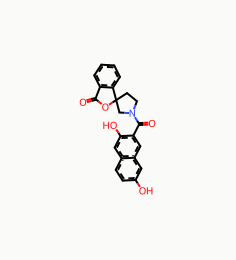 O=C1OC2(CCN(C(=O)c3cc4cc(O)ccc4cc3O)C2)c2ccccc21